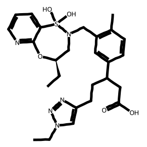 CC[C@@H]1CN(Cc2cc(C(CCc3cn(CC)nn3)CC(=O)O)ccc2C)S(O)(O)c2cccnc2O1